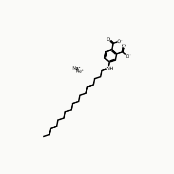 CCCCCCCCCCCCCCCCCNc1ccc(C(=O)[O-])c(C(=O)[O-])c1.[Na+].[Na+]